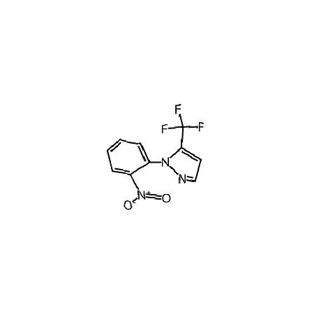 O=[N+]([O-])c1ccccc1-n1nccc1C(F)(F)F